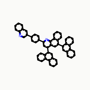 c1ccc2ncc(-c3ccc(-c4cc(-c5cc6ccccc6c6ccccc56)c5cc(-c6cc7ccccc7c7ccccc67)c6ccccc6c5n4)cc3)cc2c1